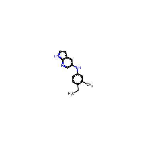 CCc1ccc(Nc2cnc3[nH]ccc3c2)cc1C